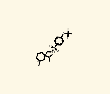 C[C@H]1CCC[C@](CNS(=O)(=O)c2ccc(OC(F)(F)F)cc2)(N(C)C)C1